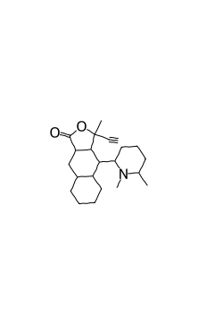 C#CC1(C)OC(=O)C2CC3CCCCC3C(C3CCCC(C)N3C)C21